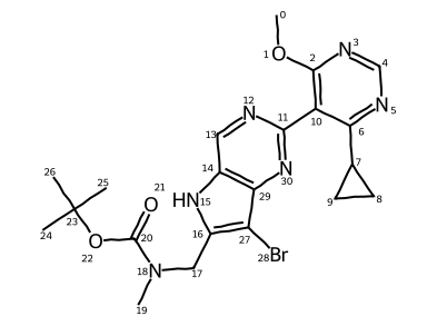 COc1ncnc(C2CC2)c1-c1ncc2[nH]c(CN(C)C(=O)OC(C)(C)C)c(Br)c2n1